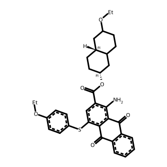 CCOc1ccc(Sc2cc(C(=O)O[C@@H]3CC[C@@H]4CC(OCC)CCC4C3)c(N)c3c2C(=O)c2ccccc2C3=O)cc1